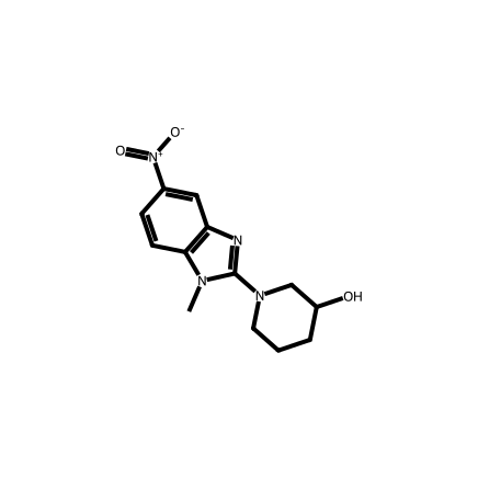 Cn1c(N2CCCC(O)C2)nc2cc([N+](=O)[O-])ccc21